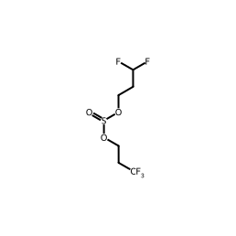 O=S(OCCC(F)F)OCCC(F)(F)F